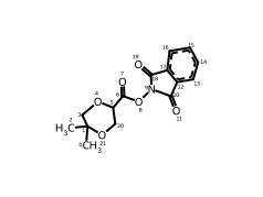 CC1(C)COC(C(=O)ON2C(=O)c3ccccc3C2=O)CO1